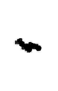 CC(=O)N[C@H]1CC[C@@H](NC(=O)c2sc3nccc4c3c2NC(=O)N4c2cnc(Oc3ccccc3)cc2C)CC1